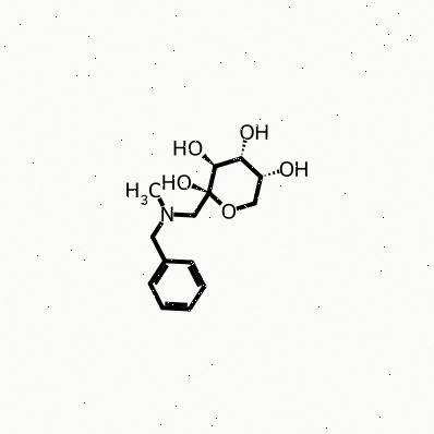 CN(Cc1ccccc1)C[C@@]1(O)OC[C@@H](O)[C@@H](O)[C@@H]1O